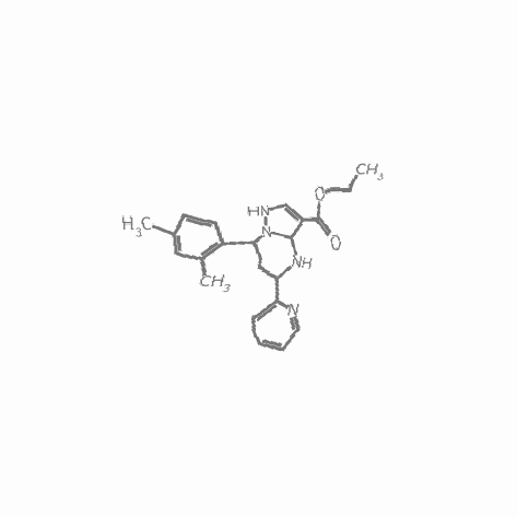 CCOC(=O)C1=CNN2C1NC(c1ccccn1)CC2c1ccc(C)cc1C